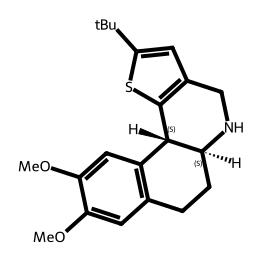 COc1cc2c(cc1OC)[C@@H]1c3sc(C(C)(C)C)cc3CN[C@H]1CC2